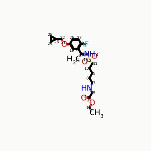 CCOC(=O)CNCCCCCS(=O)(=O)N[C@@H](C)c1cc(OCC2CC2)ccc1F